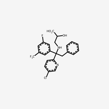 O=C(O)C(O)CNC(Cc1ccccc1)(c1cc(F)cc(C(F)(F)F)c1)c1ccc(Cl)cn1